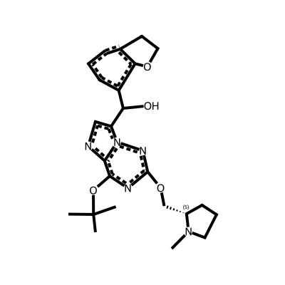 CN1CCC[C@H]1COc1nc(OC(C)(C)C)c2ncc(C(O)c3cccc4c3OCC4)n2n1